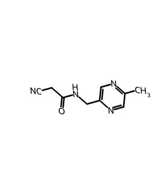 Cc1cnc(CNC(=O)CC#N)cn1